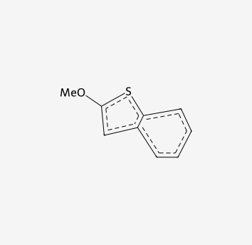 [CH2]Oc1cc2ccccc2s1